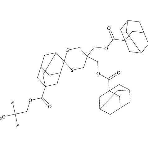 CC(F)(F)COC(=O)C12CC3CC(C1)C1(SCC(COC(=O)C45CC6CC(CC(C6)C4)C5)(COC(=O)C45CC6CC(CC(C6)C4)C5)CS1)C(C3)C2